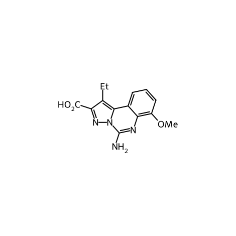 CCc1c(C(=O)O)nn2c(N)nc3c(OC)cccc3c12